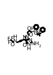 CC(C)(C)[Si](OC[C@H]1O[C@@H](n2nc(C#CCNC(=O)C(F)(F)F)c3c(=O)[nH]c(N)nc32)C[C@H]1O)(c1ccccc1)c1ccccc1